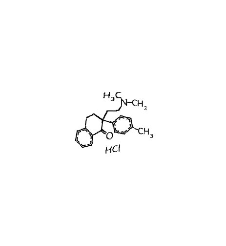 Cc1ccc(C2(CCN(C)C)CCc3ccccc3C2=O)cc1.Cl